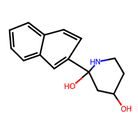 OC1CCNC(O)(c2ccc3ccccc3c2)C1